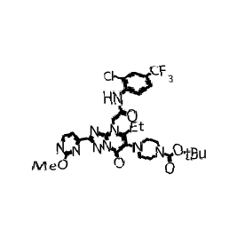 CCc1c(N2CCN(C(=O)OC(C)(C)C)CC2)c(=O)n2nc(-c3ccnc(OC)n3)nc2n1CC(=O)Nc1ccc(C(F)(F)F)cc1Cl